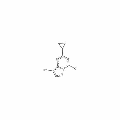 CC(C)c1cnn2c(Cl)cc(C3CC3)nc12